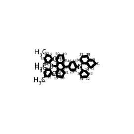 Cc1cc(C)c(B(c2c(C)cc(C)cc2C)c2c3ccccc3c(-c3ccc(N(c4ccccc4)c4cccc5ccccc45)cc3)c3ccccc23)c(C)c1